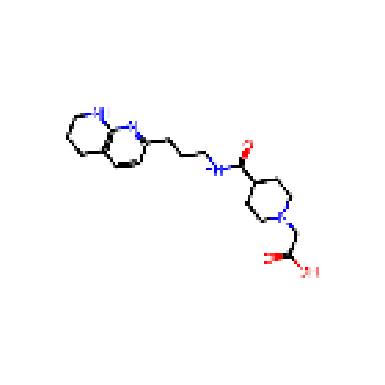 O=C(O)CN1CCC(C(=O)NCCCc2ccc3c(n2)NCCC3)CC1